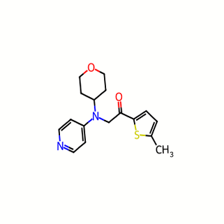 Cc1ccc(C(=O)CN(c2ccncc2)C2CCOCC2)s1